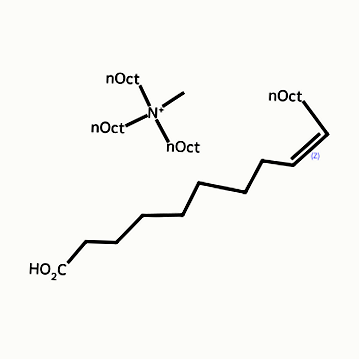 CCCCCCCC/C=C\CCCCCCCC(=O)O.CCCCCCCC[N+](C)(CCCCCCCC)CCCCCCCC